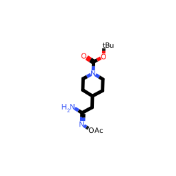 CC(=O)O/N=C(/N)CC1CCN(C(=O)OC(C)(C)C)CC1